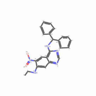 CCNc1cc2ncnc(NC(c3ccccc3)c3ccccc3)c2cc1[N+](=O)[O-]